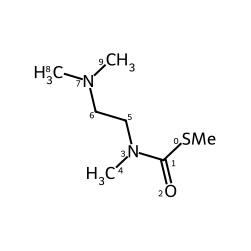 CSC(=O)N(C)CCN(C)C